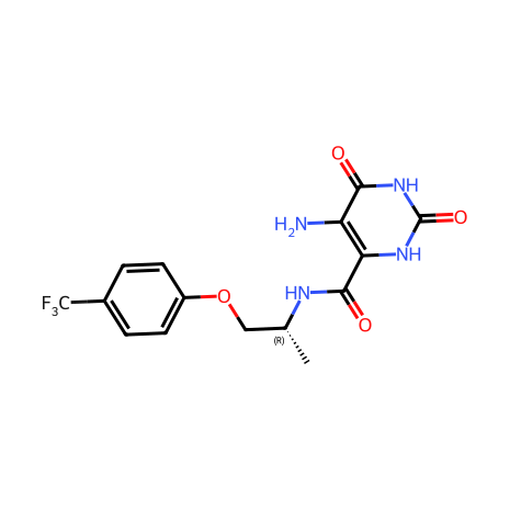 C[C@H](COc1ccc(C(F)(F)F)cc1)NC(=O)c1[nH]c(=O)[nH]c(=O)c1N